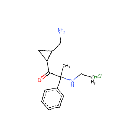 CCNC(C)(C(=O)C1CC1CN)c1ccccc1.Cl